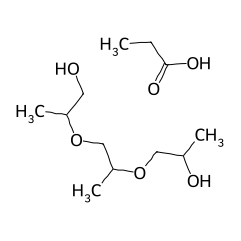 CC(O)COC(C)COC(C)CO.CCC(=O)O